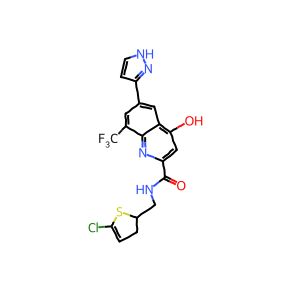 O=C(NCC1CC=C(Cl)S1)c1cc(O)c2cc(-c3cc[nH]n3)cc(C(F)(F)F)c2n1